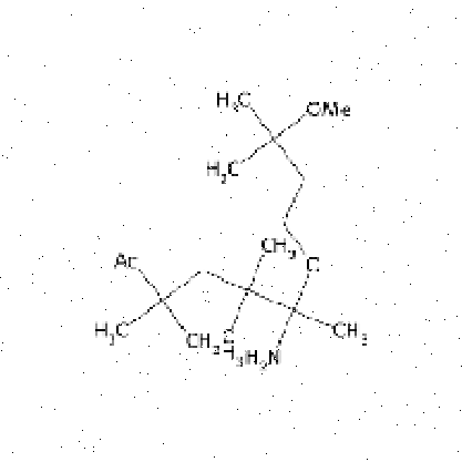 COC(C)(C)CCOC(C)(N)C(C)(C)CC(C)(C)C(C)=O